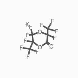 O=C1OC(F)(C(F)(F)F)C(F)(F)OC1(F)C(F)(F)F.[K]